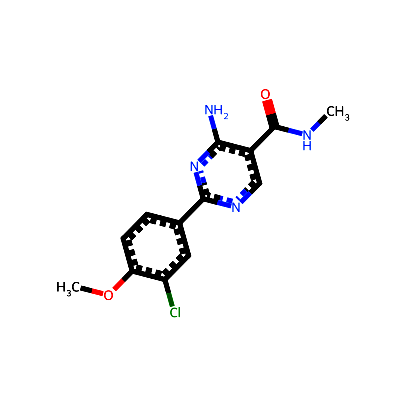 CNC(=O)c1cnc(-c2ccc(OC)c(Cl)c2)nc1N